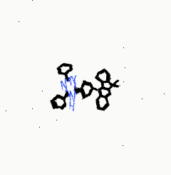 CC1(C)c2ccccc2-c2c1cc1ccccc1c2-c1ccc(C2N=C(c3ccccc3)N=C(c3ccccc3)N2)cc1